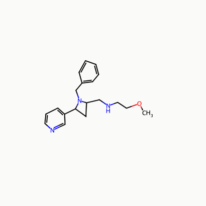 COCCNCC1CC(c2cccnc2)N1Cc1ccccc1